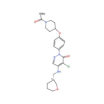 COC(=O)N1CCC(Oc2ccc(-n3ncc(NC[C@H]4CCCOC4)c(Cl)c3=O)cc2)CC1